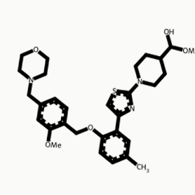 COc1cc(CN2CCOCC2)ccc1COc1ccc(C)cc1-c1csc(N2CCC(C(O)OC)CC2)n1